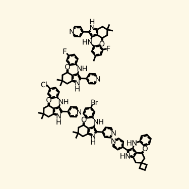 CC1(C)CC(=O)c2c([nH]c(-c3ccncc3)c2Nc2ccc(Cl)cc2)C1.CC1(C)CC(=O)c2c([nH]c(-c3ccncc3)c2Nc2ccc(F)cc2)C1.CC1(C)CC(=O)c2c([nH]c(-c3ccncc3)c2Nc2cccc(Br)c2)C1.Cc1cc(F)cc(Nc2c(-c3ccncc3)[nH]c3c2C(=O)CC(C)(C)C3)c1.O=C1CC2(CCC2)Cc2[nH]c(-c3ccncc3)c(Nc3ccccc3)c21